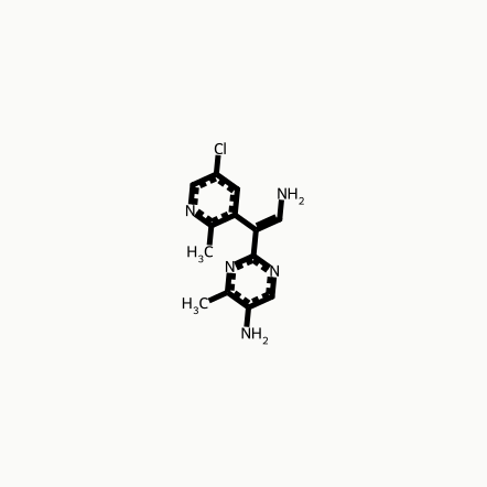 Cc1nc(/C(=C/N)c2cc(Cl)cnc2C)ncc1N